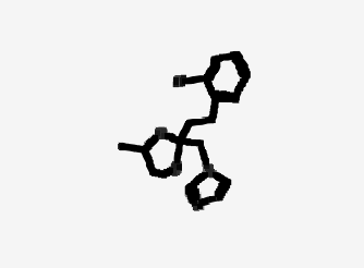 CC1COC(CCc2ccccc2Cl)(Cn2ccnc2)O1